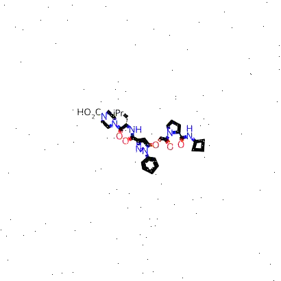 CC(C)C[C@H](NC(=O)c1cc(OCC(=O)N2CCC[C@H]2C(=O)NC2CCC2)n(-c2ccccc2)n1)C(=O)N1CCN(C(=O)O)CC1